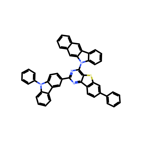 c1ccc(-c2ccc3c(c2)sc2c(-n4c5ccccc5c5cc6ccccc6cc54)nc(-c4ccc5c(c4)c4ccccc4n5-c4ccccc4)nc23)cc1